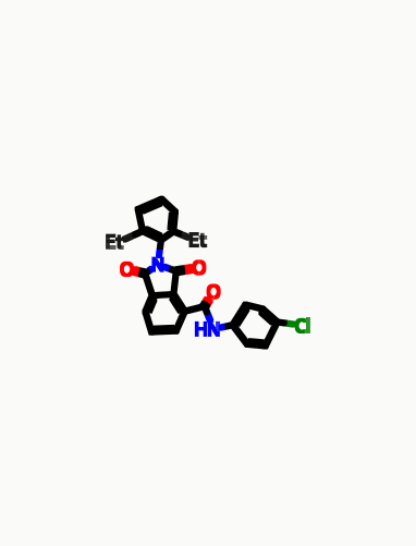 CCc1cccc(CC)c1N1C(=O)c2cccc(C(=O)Nc3ccc(Cl)cc3)c2C1=O